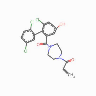 C=CC(=O)N1CCN(C(=O)c2cc(O)cc(Cl)c2-c2cc(Cl)ccc2Cl)CC1